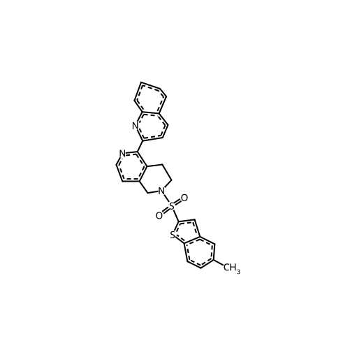 Cc1ccc2sc(S(=O)(=O)N3CCc4c(ccnc4-c4ccc5ccccc5n4)C3)cc2c1